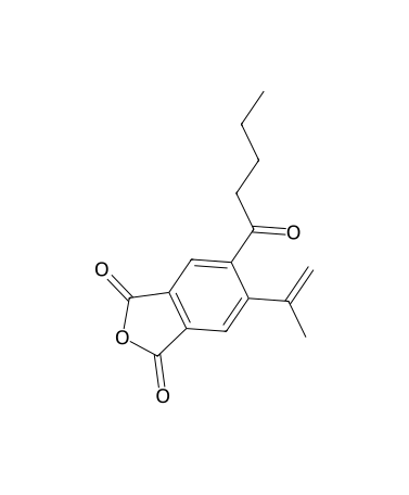 C=C(C)c1cc2c(cc1C(=O)CCCC)C(=O)OC2=O